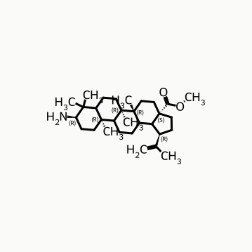 C=C(C)[C@@H]1CC[C@]2(C(=O)OC)CC[C@]3(C)C(CCC4[C@@]5(C)CC[C@@H](N)C(C)(C)C5CC[C@]43C)C12